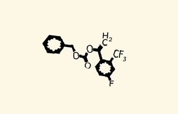 C=C(OC(=O)OCc1ccccc1)c1ccc(F)cc1C(F)(F)F